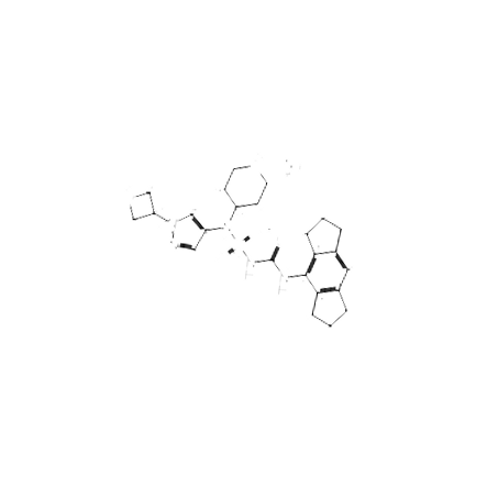 O=C(Nc1c2c(cc3c1CCC3)CCC2)NS(=O)(=O)N(c1cnn(C2COC2)c1)C1CCOCC1.[NaH]